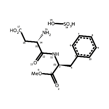 COC(=O)[C@H](Cc1ccccc1)NC(=O)[C@@H](N)CC(=O)O.O=S(=O)(O)O